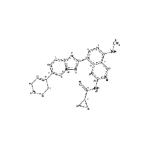 CNc1ncc(-c2nc3ccc(C4=CCOCC4)cn3n2)c2cc(NC(=O)C3CC3)ncc12